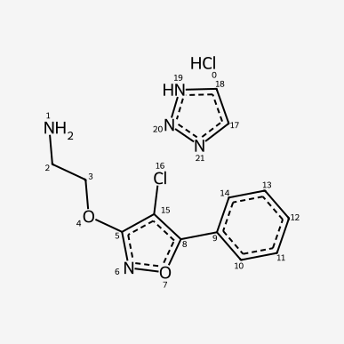 Cl.NCCOc1noc(-c2ccccc2)c1Cl.c1c[nH]nn1